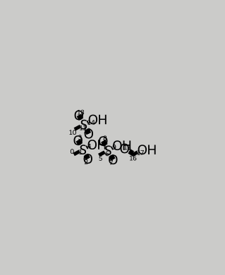 CS(=O)(=O)O.CS(=O)(=O)O.CS(=O)(=O)O.O=CO